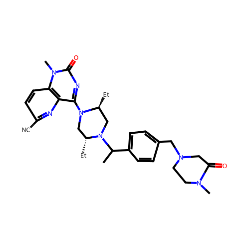 CC[C@H]1CN(C(C)c2ccc(CN3CCN(C)C(=O)C3)cc2)[C@H](CC)CN1c1nc(=O)n(C)c2ccc(C#N)nc12